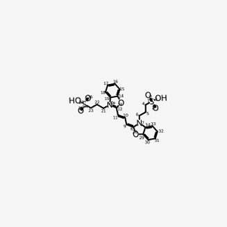 O=S(=O)(O)CCCN1C(=CC=Cc2oc3ccccc3[n+]2CCCS(=O)(=O)O)Oc2ccccc21